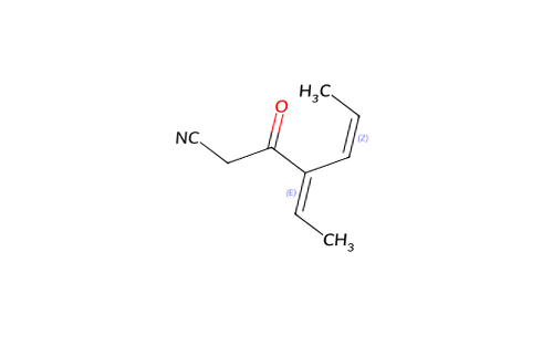 C/C=C\C(=C/C)C(=O)CC#N